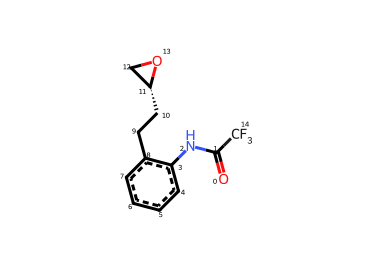 O=C(Nc1ccccc1CC[C@@H]1CO1)C(F)(F)F